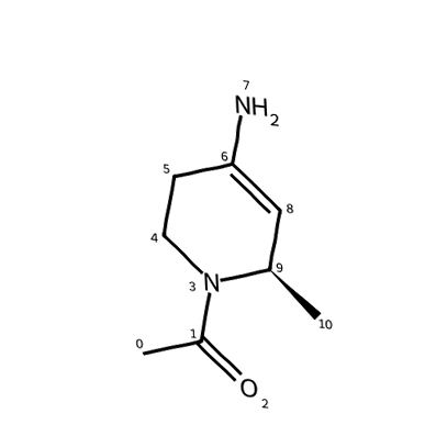 CC(=O)N1CCC(N)=C[C@H]1C